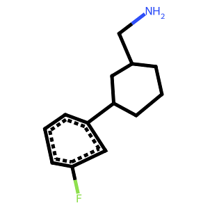 NCC1CCCC(c2cccc(F)c2)C1